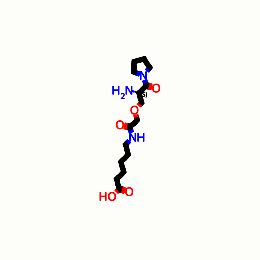 N[C@@H](COCC(=O)NCCCCCC(=O)O)C(=O)N1CCCC1